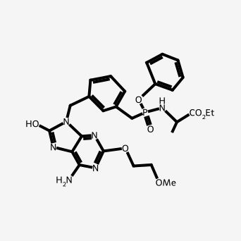 CCOC(=O)C(C)NP(=O)(Cc1cccc(Cn2c(O)nc3c(N)nc(OCCOC)nc32)c1)Oc1ccccc1